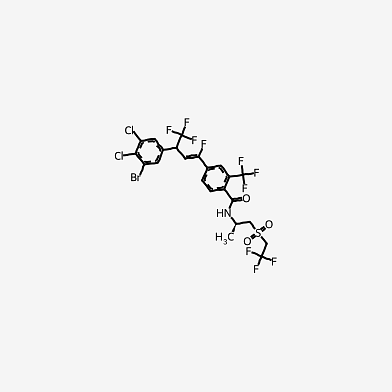 C[C@H](CS(=O)(=O)CC(F)(F)F)NC(=O)c1ccc(/C(F)=C/C(c2cc(Cl)c(Cl)c(Br)c2)C(F)(F)F)cc1C(F)(F)F